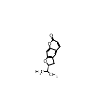 CC(C)[C@@H]1Cc2cc3ccc(=O)oc3cc2O1